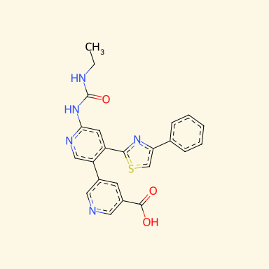 CCNC(=O)Nc1cc(-c2nc(-c3ccccc3)cs2)c(-c2cncc(C(=O)O)c2)cn1